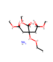 CCOOC(CC(=O)OC)(CC(=O)OC)C(=O)OC.N